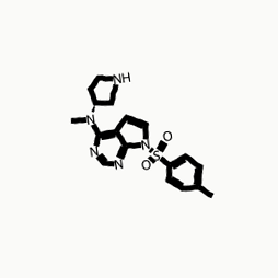 Cc1ccc(S(=O)(=O)n2ccc3c(N(C)[C@@H]4CCNC4)ncnc32)cc1